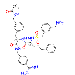 N=C(N)c1ccc(CNC(=O)[C@H](Cc2cccc(CNC(=O)C(F)(F)F)c2)NC(=O)[C@@H](CCCc2ccccc2)NS(=O)(=O)Cc2cccc(CN)c2)cc1